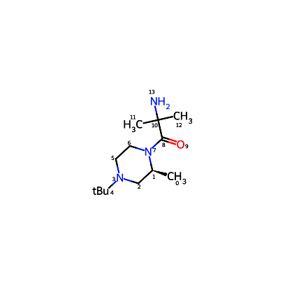 C[C@H]1CN(C(C)(C)C)CCN1C(=O)C(C)(C)N